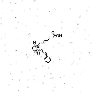 O=C(O)CCCCCC[C@H]1[C@@H](CCSc2ccccc2)[C@H]2CC[C@@H]1S2